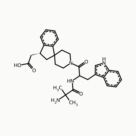 CC(C)(N)C(=O)NC(Cc1c[nH]c2ccccc12)C(=O)N1CCC2(CC1)C[C@H](CC(=O)O)c1ccccc12